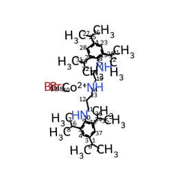 CC(C)c1cc(C(C)C)c(NCCCNCCNc2c(C(C)C)cc(C(C)C)cc2C(C)C)c(C(C)C)c1.[Br-].[Br-].[Co+2]